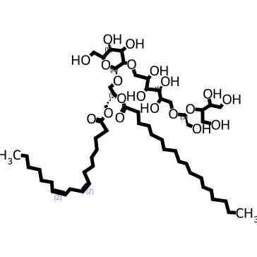 CCCCCC/C=C\C/C=C\CCCCCCC(=O)OC[C@H](CO[C@@H]1OC(CO)[C@@H](O)C(O)C1OCC(O)C(O)[C@@H](O)C(O)CO[C@H](CO)OC(CO)C(O)CO)OC(=O)CCCCCCCCCCCCCCCCC